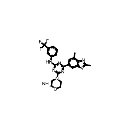 Cc1nc2c(C)cc(-c3nc(Nc4cccc(C(F)(F)F)c4)nc(N4CCOCC4)n3)cc2s1.N